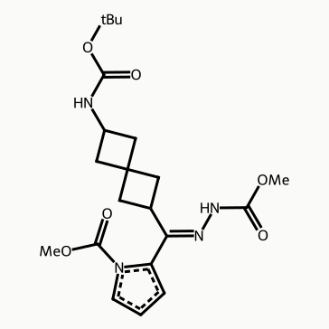 COC(=O)N/N=C(/c1cccn1C(=O)OC)C1CC2(CC(NC(=O)OC(C)(C)C)C2)C1